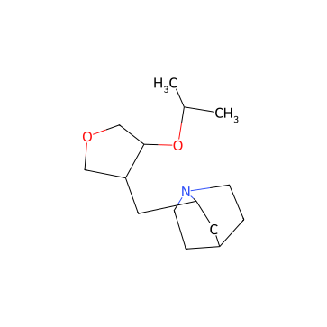 CC(C)OC1COCC1CC1CC2CCN1CC2